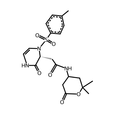 Cc1ccc(S(=O)(=O)N2C=CNC(=O)[C@H]2CC(=O)NC2CC(=O)OC(C)(C)C2)cc1